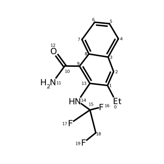 CCc1cc2ccccc2c(C(N)=O)c1NC(F)(F)CF